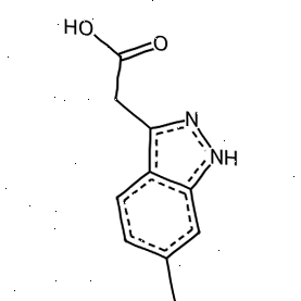 Cc1ccc2c(CC(=O)O)n[nH]c2c1